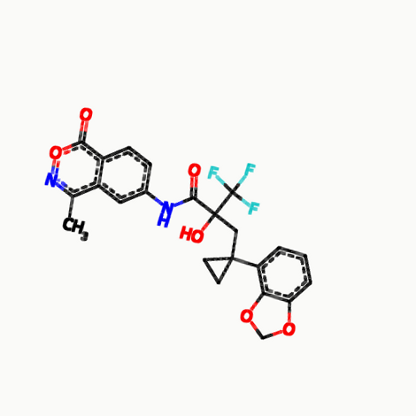 Cc1noc(=O)c2ccc(NC(=O)C(O)(CC3(c4cccc5c4OCO5)CC3)C(F)(F)F)cc12